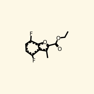 CCOC(=O)c1oc2c(F)ccc(F)c2c1C